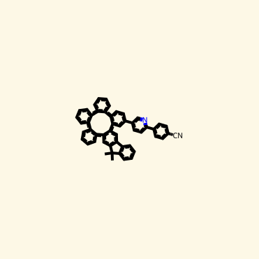 CC1(C)c2ccccc2-c2cc3c4cc(-c5ccc(-c6ccc(C#N)cc6)nc5)ccc4c4ccccc4c4ccccc4c4ccccc4c3cc21